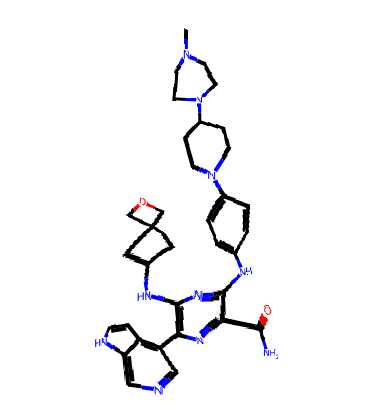 CN1CCN(C2CCN(c3ccc(Nc4nc(NC5CC6(COC6)C5)c(-c5cncc6[nH]ccc56)nc4C(N)=O)cc3)CC2)CC1